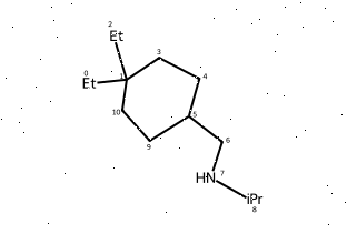 CCC1(CC)CCC(CNC(C)C)CC1